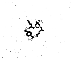 CCCCC(C)CN1CN(CC(C)CCCC)CC(C)(N)C1.O=C(O)c1ccc(C(=O)O)cc1